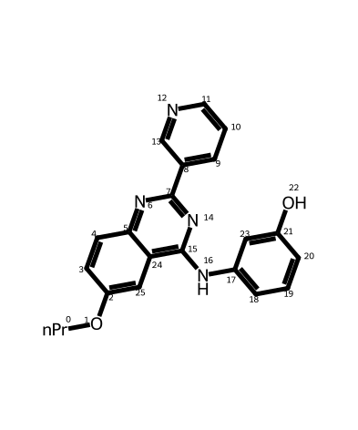 CCCOc1ccc2nc(-c3cccnc3)nc(Nc3cccc(O)c3)c2c1